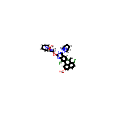 CCc1c(F)ccc2cc(O)cc(-c3c(Cl)cc4c(N5CC6CCC(C5)N6)nc(OCCCN5C6CCC5CS(=O)(=NC)C6)nc4c3F)c12